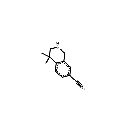 CC1(C)CNCc2cc(C#N)ccc21